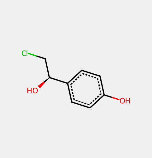 Oc1ccc([C@@H](O)CCl)cc1